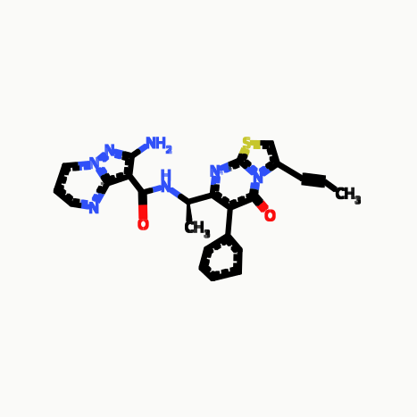 CC#Cc1csc2nc([C@@H](C)NC(=O)c3c(N)nn4cccnc34)c(-c3ccccc3)c(=O)n12